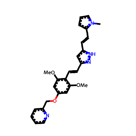 COc1cc(OCc2ccccn2)cc(OC)c1C=Cc1cc(/C=C/c2cccn2C)[nH]n1